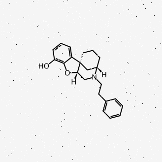 Oc1cccc2c1O[C@H]1CN(CCc3ccccc3)[C@H]3CCC[C@@]21C3